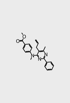 C=CCc1c(C)nc(-c2ccccc2)nc1N(C)c1ccc(C(=O)OC)cc1